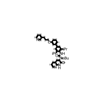 CCCCN(C(=O)Nc1c(C(C)C)cc(-c2cccc(OCCCc3cccnc3)c2)cc1C(C)C)c1cc2cccnc2[nH]c1=O